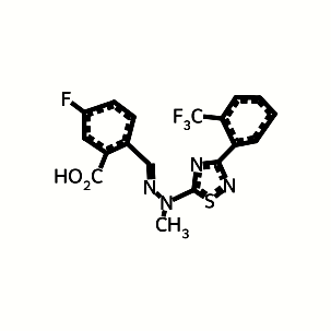 CN(/N=C/c1ccc(F)cc1C(=O)O)c1nc(-c2ccccc2C(F)(F)F)ns1